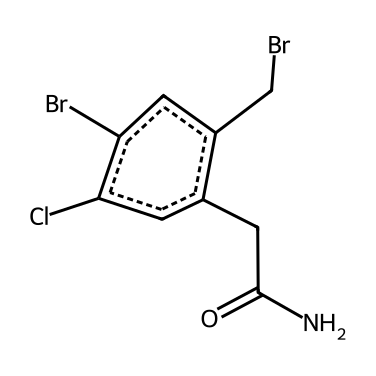 NC(=O)Cc1cc(Cl)c(Br)cc1CBr